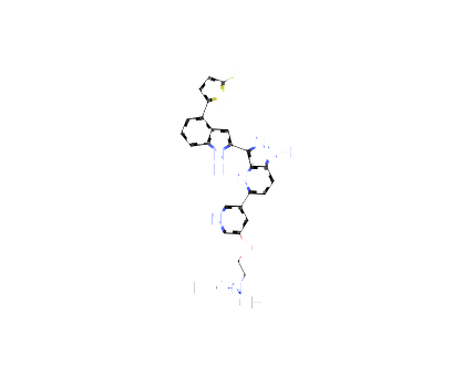 CN(C)CCOc1cncc(-c2ccc3[nH]nc(-c4cc5c(-c6ccc(F)s6)cccc5[nH]4)c3n2)c1